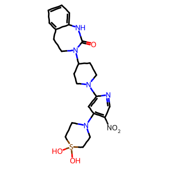 O=C1Nc2ccccc2CCN1C1CCN(c2cc(N3CCS(O)(O)CC3)c([N+](=O)[O-])cn2)CC1